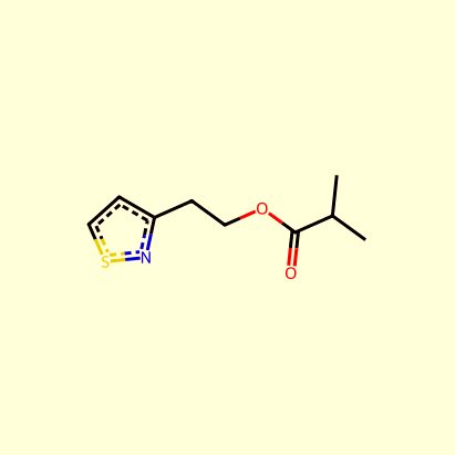 CC(C)C(=O)OCCc1ccsn1